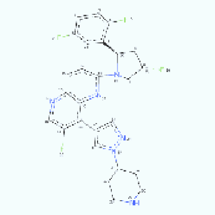 Fc1ccc(F)c([C@H]2C[C@H](F)CN2c2ccc3ncc(F)c(-c4cnn(C5CCNCC5)c4)c3n2)c1